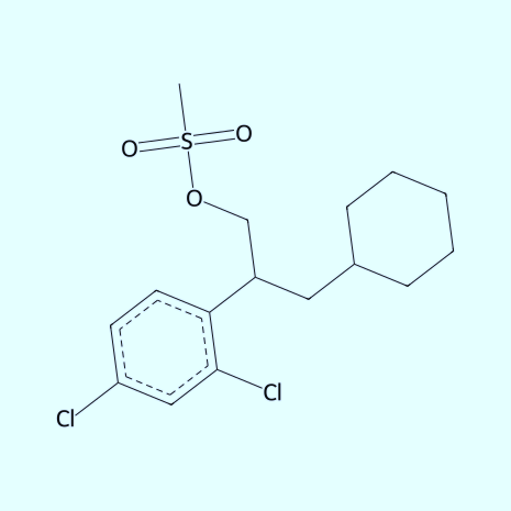 CS(=O)(=O)OCC(CC1CCCCC1)c1ccc(Cl)cc1Cl